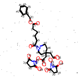 O=C(CCCCC(=O)N1CCC(CC(=O)ON2C(=O)CCC2=O)(CC(=O)ON2C(=O)CCC2=O)CC1)OCc1ccccc1